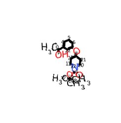 CC(O)c1cccc(OC2CCN(C(=O)OC(C)(C)C)CC2)c1